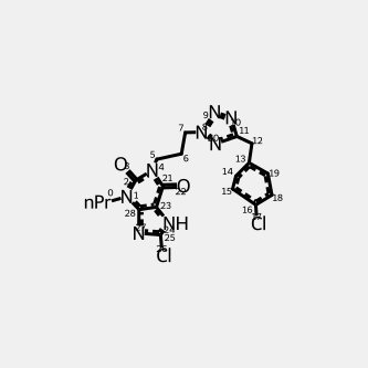 CCCn1c(=O)n(CCCn2nnc(Cc3ccc(Cl)cc3)n2)c(=O)c2[nH]c(Cl)nc21